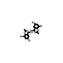 Cc1nc([Se][Se]c2nc(C)nc3c(Br)cc(Br)cc23)c2cc(Br)cc(Br)c2n1